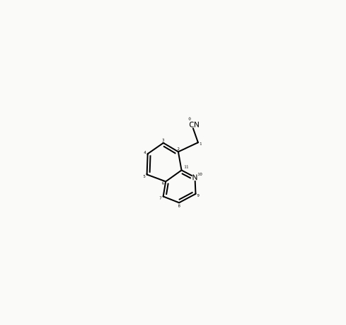 N#CCc1cccc2cccnc12